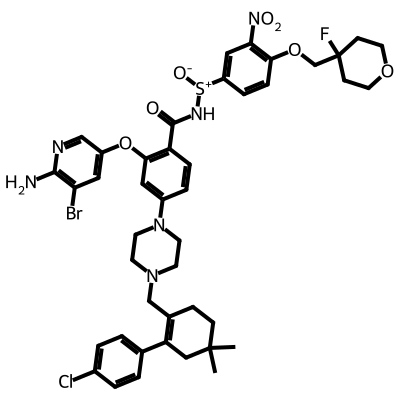 CC1(C)CCC(CN2CCN(c3ccc(C(=O)N[S+]([O-])c4ccc(OCC5(F)CCOCC5)c([N+](=O)[O-])c4)c(Oc4cnc(N)c(Br)c4)c3)CC2)=C(c2ccc(Cl)cc2)C1